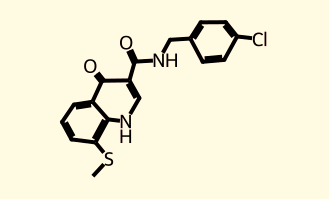 CSc1cccc2c(=O)c(C(=O)NCc3ccc(Cl)cc3)c[nH]c12